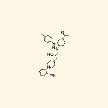 CC(=O)N1CCc2c(c(-c3ccc(I)cc3)nn2CC(O)CN2CCN(c3ccccc3C#N)CC2)C1